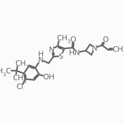 C=CC(=O)N1CC(NC(=O)c2sc(CNc3cc(C(C)(C)C)c(Cl)cc3O)nc2C)C1